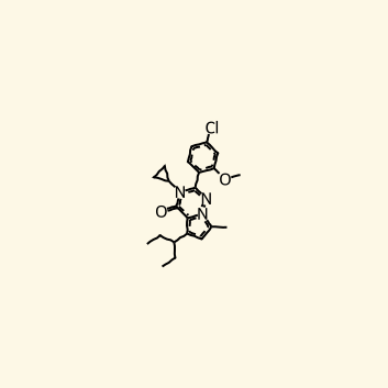 CCC(CC)c1cc(C)n2nc(-c3ccc(Cl)cc3OC)n(C3CC3)c(=O)c12